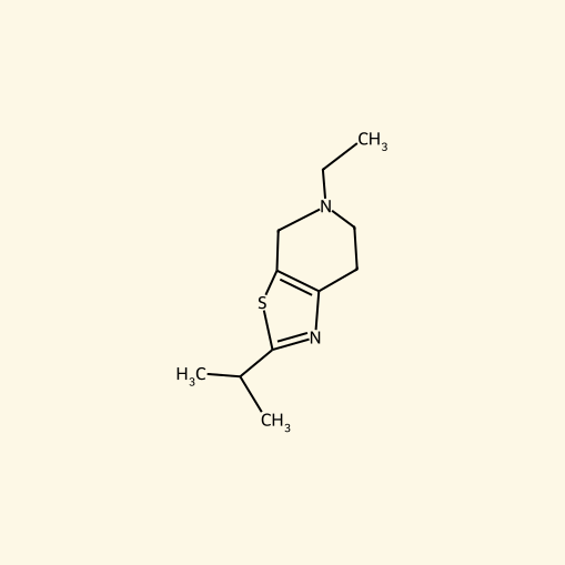 CCN1CCc2nc(C(C)C)sc2C1